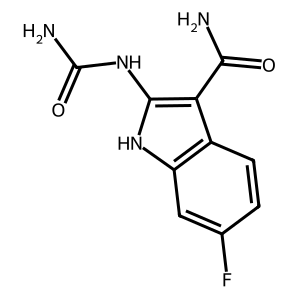 NC(=O)Nc1[nH]c2cc(F)ccc2c1C(N)=O